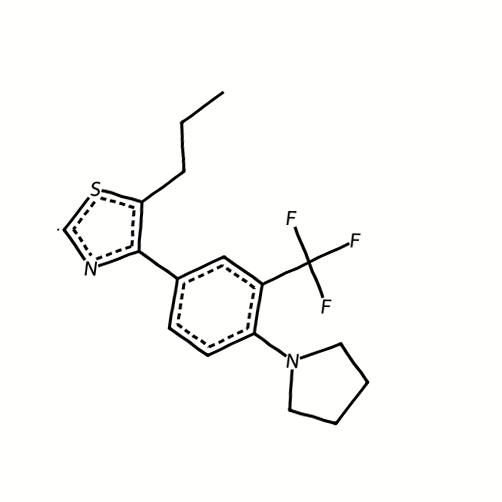 CCCc1s[c]nc1-c1ccc(N2CCCC2)c(C(F)(F)F)c1